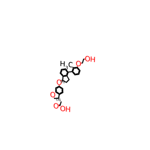 Cc1c(OCCO)cccc1-c1cccc2c1CC[C@H]2Oc1ccc2c(c1)OC[C@H]2CC(=O)O